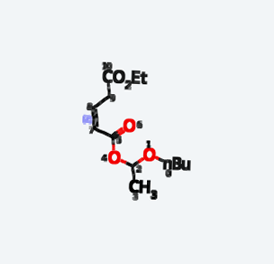 CCCCOC(C)OC(=O)/C=C\CC(=O)OCC